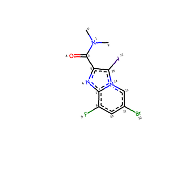 CN(C)C(=O)c1nc2c(F)cc(Br)cn2c1I